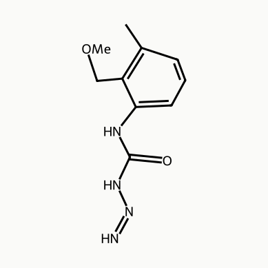 COCc1c(C)cccc1NC(=O)NN=N